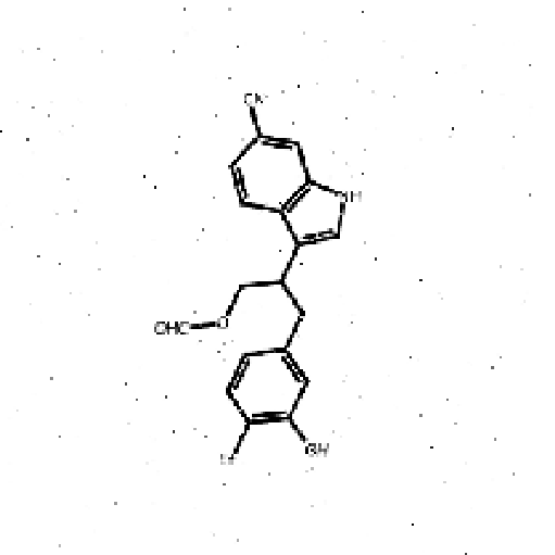 CCc1ccc(CC(COC=O)c2c[nH]c3cc(C#N)ccc23)cc1O